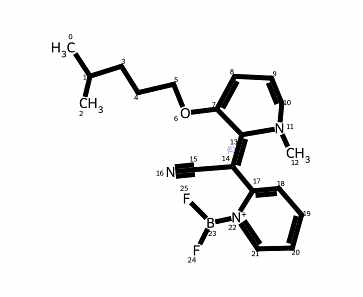 CC(C)CCCOC1=CC=CN(C)/C1=C(/C#N)c1cccc[n+]1B(F)F